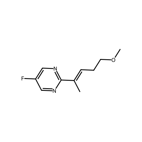 COCCC=C(C)c1ncc(F)cn1